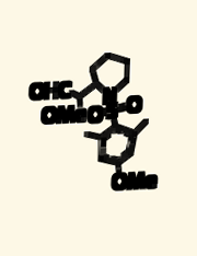 COc1cc(C)c(S(=O)(=O)N2CCCCC2C(C=O)OC)c(C)c1